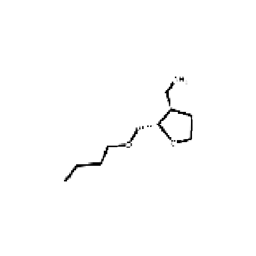 CCCCOC[C@H]1OCC[C@@H]1CN